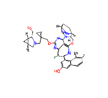 CCc1c(F)ccc2cc(O)cc(-c3nc4c5c(nc(OCC6(CN7C[C@@H]8C[C@@H]8[C@H]7CO)CC6)nc5c3F)N3C[C@@H]5CC[C@@H](N5)[C@H]3CO4)c12